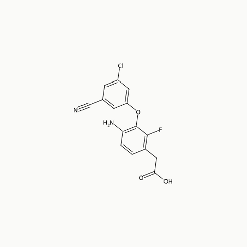 N#Cc1cc(Cl)cc(Oc2c(N)ccc(CC(=O)O)c2F)c1